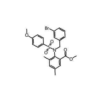 COC(=O)c1cc(C)cc(C)c1N(Cc1cccc(Br)c1)S(=O)(=O)c1ccc(OC)cc1